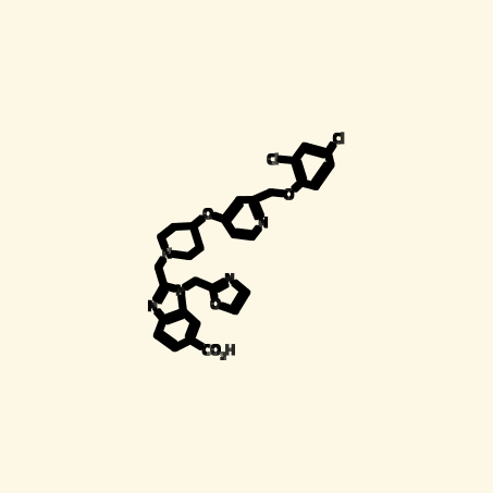 O=C(O)c1ccc2nc(CN3CCC(Oc4ccnc(COc5ccc(Cl)cc5Cl)c4)CC3)n(Cc3ncco3)c2c1